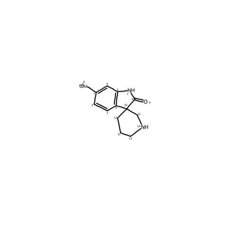 CC(C)(C)c1ccc2c(c1)NC(=O)C21CCCNC1